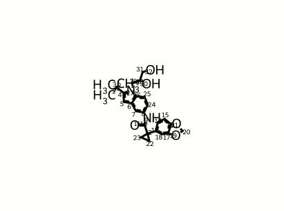 CC(C)(C)c1cc2cc(NC(=O)C3(c4ccc5c(c4)OCO5)CC3)ccc2n1C[C@@H](O)CO